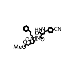 COC(=O)C[C@@H]1C[C@@H](CNC(=O)c2cc(-c3ccc(C#N)cc3)n[nH]c2=O)N(CCCc2ccccc2)C1=O